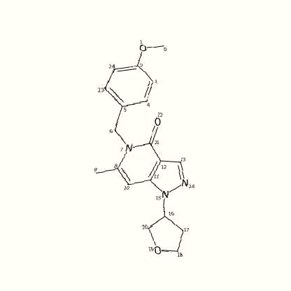 COc1ccc(Cn2c(C)cc3c(cnn3C3CCOC3)c2=O)cc1